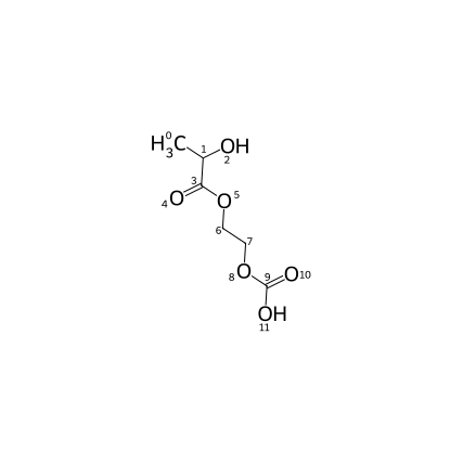 CC(O)C(=O)OCCOC(=O)O